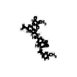 Cc1ccnc([C@H]2C[C@@H]2C2=CS(=O)(=O)c3ccc(NCc4cn5cc(C6CC6)cc(N6CC(=O)N(C)C6=O)c5n4)cc3N2)n1